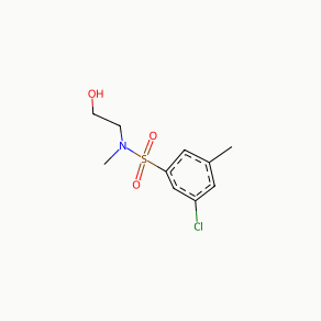 Cc1cc(Cl)cc(S(=O)(=O)N(C)CCO)c1